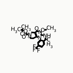 CCOn1c(N[C@@H](C)c2ccc(C(F)(F)F)cc2)nc2c(c1=O)CN(C(=O)OC(C)(C)C)CC2